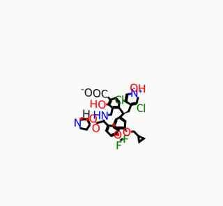 O=C([O-])c1ccc([C@@H](Cc2c(Cl)c[n+](O)cc2Cl)c2ccc(OC(F)F)c(OCC3CC3)c2)c(CNC(C(=O)O[C@H]2CN3CCC2CC3)c2ccccc2)c1O